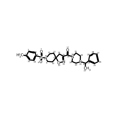 Cc1ccc(S(=O)(=O)N2CCC3(CC2)CC(C(=O)N2CCN(C(C)c4ccccc4)CC2)=NO3)cc1